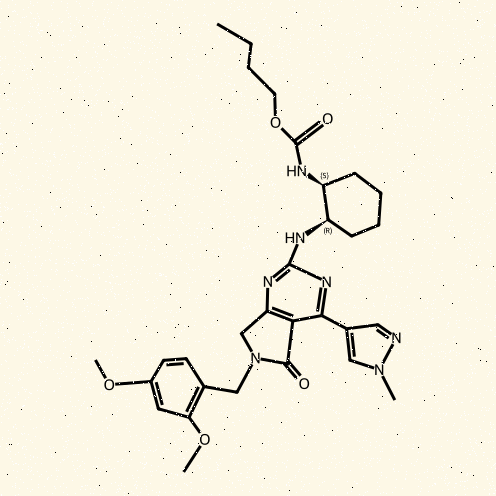 CCCCOC(=O)N[C@H]1CCCC[C@H]1Nc1nc2c(c(-c3cnn(C)c3)n1)C(=O)N(Cc1ccc(OC)cc1OC)C2